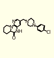 O=C1Nc2cc(CN3CCN(c4ccc(Cl)cc4)CC3)cnc2N2CCCCC12